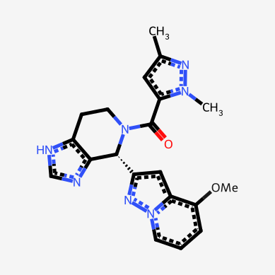 COc1cccn2nc([C@@H]3c4nc[nH]c4CCN3C(=O)c3cc(C)nn3C)cc12